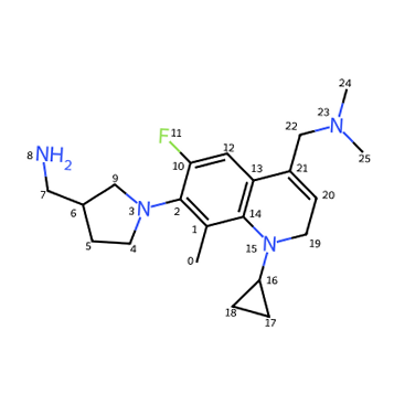 Cc1c(N2CCC(CN)C2)c(F)cc2c1N(C1CC1)CC=C2CN(C)C